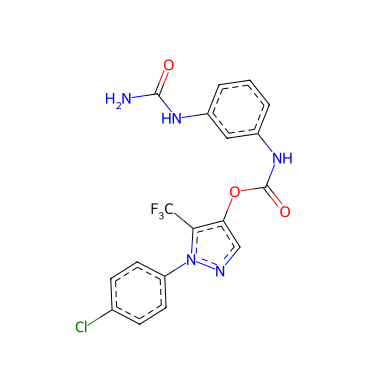 NC(=O)Nc1cccc(NC(=O)Oc2cnn(-c3ccc(Cl)cc3)c2C(F)(F)F)c1